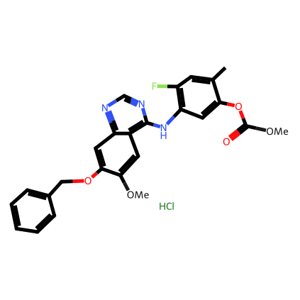 COC(=O)Oc1cc(Nc2ncnc3cc(OCc4ccccc4)c(OC)cc23)c(F)cc1C.Cl